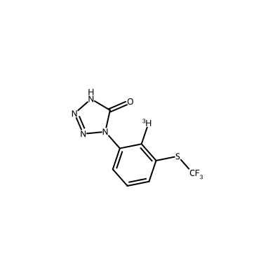 [3H]c1c(SC(F)(F)F)cccc1-n1nn[nH]c1=O